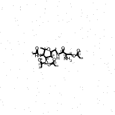 CC(=O)NC1C(C)OC(CNC(=O)C(N)COC(C)=O)C(OC(C)=O)C1OC(C)=O